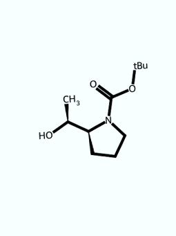 C[C@H](O)[C@@H]1CCCN1C(=O)OC(C)(C)C